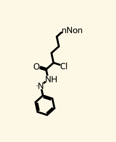 CCCCCCCCCCCCC(Cl)C(=O)N[N]c1ccccc1